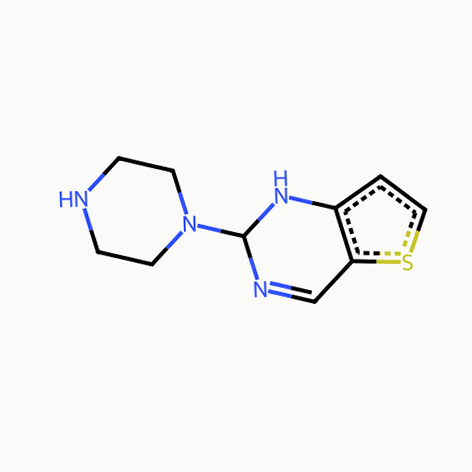 C1=NC(N2CCNCC2)Nc2ccsc21